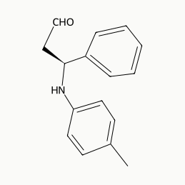 Cc1ccc(N[C@@H](CC=O)c2ccccc2)cc1